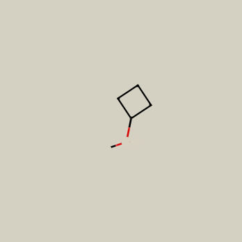 [CH2-][OH+]C1CCC1